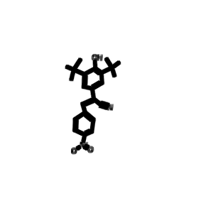 CC(C)(C)c1cc(C(C#N)=Cc2ccc([N+](=O)[O-])cc2)cc(C(C)(C)C)c1O